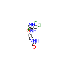 O=C(N[C@H](c1ccc(Cl)c(F)c1)[C@@]1(F)CCNC1)c1ccc2cnc(NC3CCOCC3)cc2c1